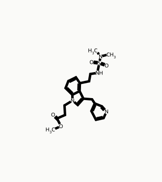 COC(=O)CCn1cc(Cc2cccnc2)c2c(CCNS(=O)(=O)N(C)C)cccc21